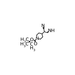 CC(C)(C)OC(=O)N1CCC(C(C#N)C=N)CC1